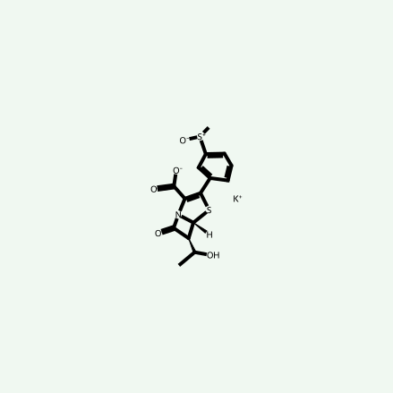 CC(O)[C@H]1C(=O)N2C(C(=O)[O-])=C(c3cccc([S+](C)[O-])c3)S[C@H]12.[K+]